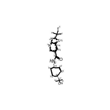 CC(C)(F)c1nc2ncc(C(=O)N[C@H]3CC[C@H](C(C)(C)O)CC3)cc2s1